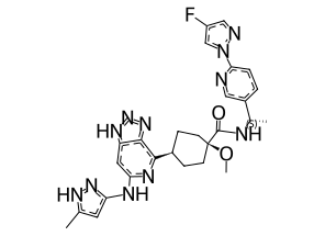 CO[C@]1(C(=O)N[C@@H](C)c2ccc(-n3cc(F)cn3)nc2)CC[C@H](c2nc(Nc3cc(C)[nH]n3)cc3[nH]nnc32)CC1